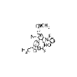 C=CC(=O)N1CCN(c2c(C#N)c(OC[C@@H]3CCCN3C)nc3c2CCN(c2c(O)cccc2F)C3)C[C@H]1C